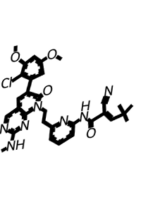 CNc1ncc2cc(-c3cc(OC)cc(OC)c3Cl)c(=O)n(CCc3cccc(NC(=O)C(C#N)=CC(C)(C)C)n3)c2n1